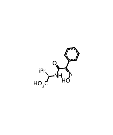 CC(C)[C@H](NC(=O)C(=NO)c1ccccc1)C(=O)O